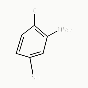 CNc1cc(S)ccc1Cl